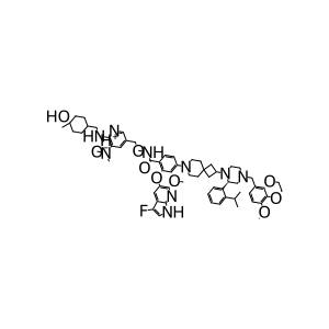 COc1ccc(CN2CCN(C3CC4(CCN(c5ccc(C(=O)NOCc6cnc(NCC7CCC(C)(O)CC7)c([NH+](C)[O-])c6)c(Oc6cc7c(F)c[nH]c7nc6OC)c5)CC4)C3)[C@H](c3ccccc3C(C)C)C2)c2c1OCCO2